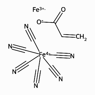 C=CC(=O)[O-].N#[C][Fe-4]([C]#N)([C]#N)([C]#N)([C]#N)[C]#N.[Fe+3]